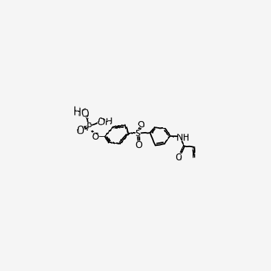 C=CC(=O)Nc1ccc(S(=O)(=O)c2ccc(OP(=O)(O)O)cc2)cc1